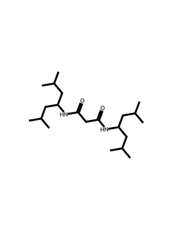 CC(C)CC(CC(C)C)NC(=O)CC(=O)NC(CC(C)C)CC(C)C